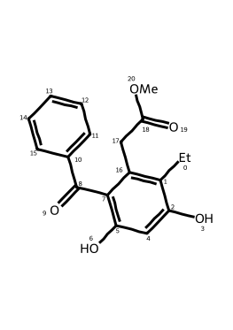 CCc1c(O)cc(O)c(C(=O)c2ccccc2)c1CC(=O)OC